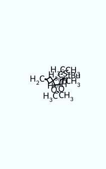 C=C1CC2(C1)C[C@H]([C@@H](C)[SH](C)(C)(C)C(C)(C)C)[C@@H]1OC(C)(C)O[C@@H]12